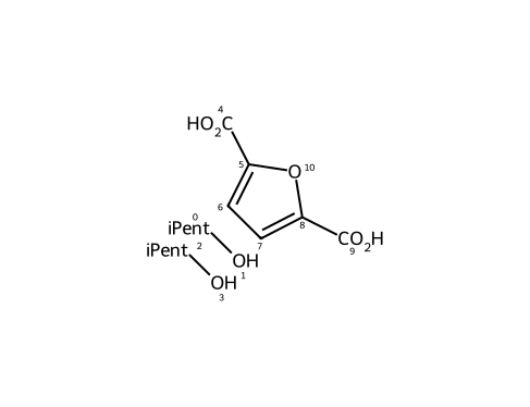 CCCC(C)O.CCCC(C)O.O=C(O)c1ccc(C(=O)O)o1